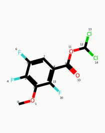 COc1c(F)c(F)cc(C(=O)OC(Cl)Cl)c1F